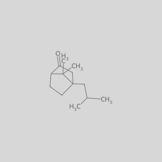 CC(C)CC12CCC(C(=O)C1)C2(C)C